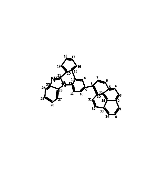 c1cc2ccc3ccc(-c4ccc5c(c4)c4ccccc4c4nc6ccccc6n54)c4ccc(c1)c2c34